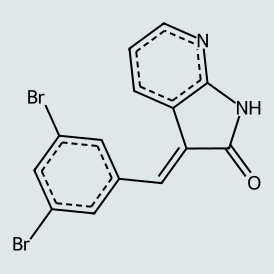 O=C1Nc2ncccc2/C1=C\c1cc(Br)cc(Br)c1